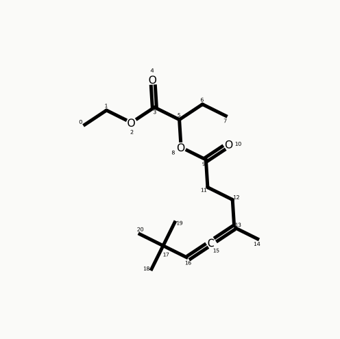 CCOC(=O)C(CC)OC(=O)CCC(C)=C=CC(C)(C)C